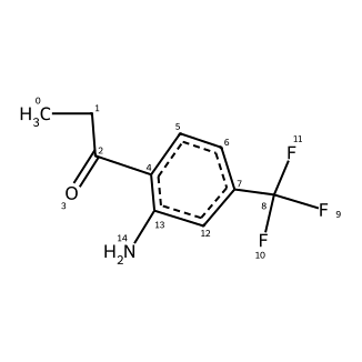 CCC(=O)c1ccc(C(F)(F)F)cc1N